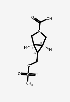 CS(=O)(=O)OC[C@H]1[C@H]2CN(C(=O)O)C[C@@H]12